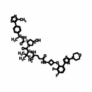 Cc1ncsc1-c1ccc([C@H](C)NC(=O)[C@@H]2C[C@@H](O)CN2C(=O)[C@@H](NC(=O)CCC(=O)NC2CC(Oc3c(-c4csc(N5CCOCC5)n4)ccc(F)c3F)C2)C(C)(C)C)cc1